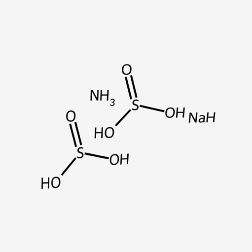 N.O=S(O)O.O=S(O)O.[NaH]